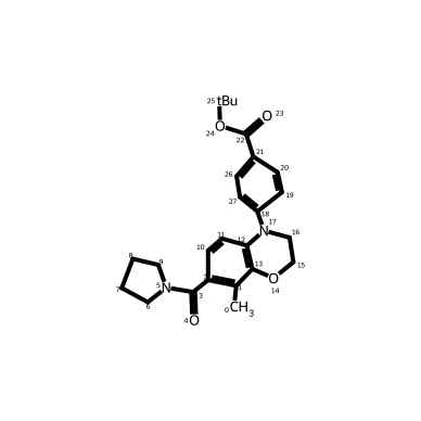 Cc1c(C(=O)N2CCCC2)ccc2c1OCCN2c1ccc(C(=O)OC(C)(C)C)cc1